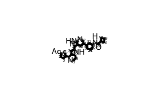 CC(=O)c1ccc(-c2nccc3[nH]c(-c4n[nH]c5ncc(-c6cc#cc(NC(=O)C7CCC7)c6)cc45)cc23)s1